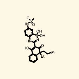 CCC1(CCC(C)C)C(=O)C(C2=NS(O)(O)c3cc(NS(C)(=O)=O)ccc3N2)=C(O)c2ccccc21